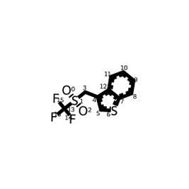 O=S(=O)(Cc1csc2ccccc12)C(F)(F)F